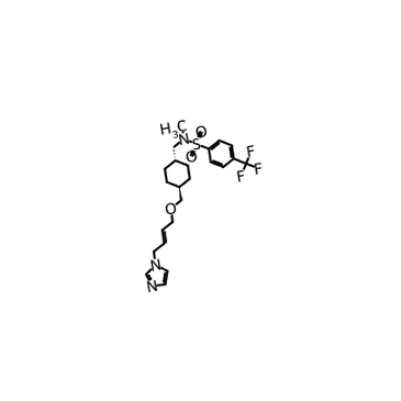 CN(C[C@H]1CC[C@H](COCC=CCn2ccnc2)CC1)S(=O)(=O)c1ccc(C(F)(F)F)cc1